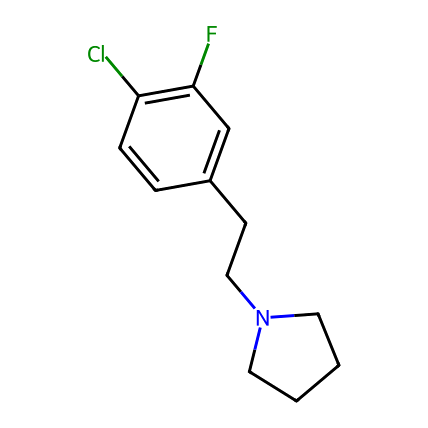 Fc1cc(CCN2CCCC2)ccc1Cl